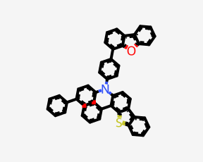 c1ccc(-c2ccc(N(c3ccc(-c4cccc5c4oc4ccccc45)cc3)c3ccc4c(sc5ccccc54)c3-c3ccccc3)cc2)cc1